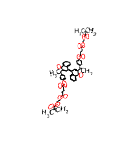 C=C(C)C(=O)OCCOC(=O)CCC(=O)Oc1ccc(C(C)C2=C/C(=C3/C=C(C(C)c4ccc(OC(=O)CCC(=O)OCCOC(=O)C(=C)C)cc4)C(=O)c4ccccc43)c3ccccc3C2=O)cc1